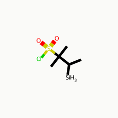 CC([SiH3])C(C)(C)S(=O)(=O)Cl